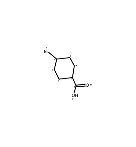 O=C(O)C1CCC(Br)CC1